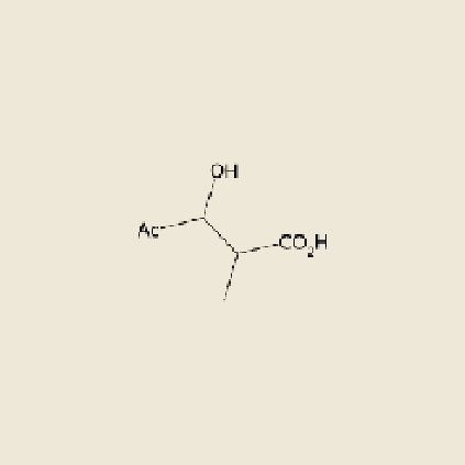 CC(=O)C(O)C(C)C(=O)O